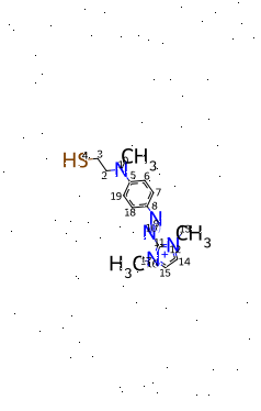 CN(CCS)c1ccc(/N=N/c2n(C)cc[n+]2C)cc1